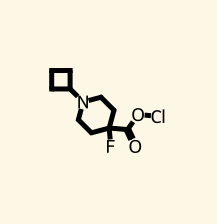 O=C(OCl)C1(F)CCN(C2CCC2)CC1